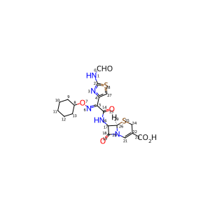 O=CNc1nc(C(=NOC2CCCCC2)C(=O)NC2C(=O)N3C=C(C(=O)O)CS[C@H]23)cs1